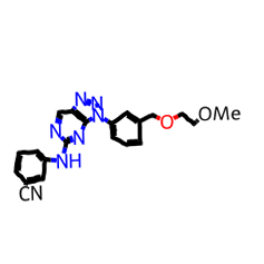 COCCOCc1cccc(-n2nnc3cnc(Nc4cccc(C#N)c4)nc32)c1